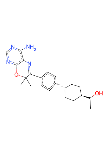 CC(O)[C@H]1CC[C@H](c2ccc(C3=Nc4c(N)ncnc4OC3(C)C)cc2)CC1